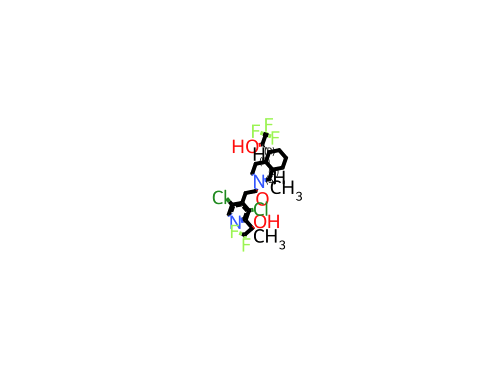 C[C@H]1[C@H]2CCC[C@@H](C(O)C(F)(F)F)[C@@H]2CCN1C(=O)Cc1c(Cl)cnc(C(C)(O)C(F)F)c1Cl